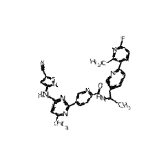 Cc1cc(Nc2cc(C#N)sn2)nc(-c2ccc(C(=O)NC(C)c3ccc(-c4ccc(F)nc4C)nc3)nc2)n1